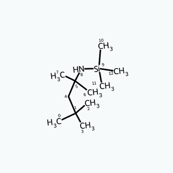 CC(C)(C)CC(C)(C)N[Si](C)(C)C